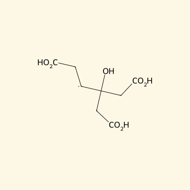 O=C(O)C[CH]C(O)(CC(=O)O)CC(=O)O